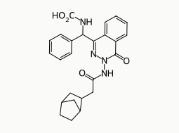 O=C(O)NC(c1ccccc1)c1nn(NC(=O)CC2CC3CCC2C3)c(=O)c2ccccc12